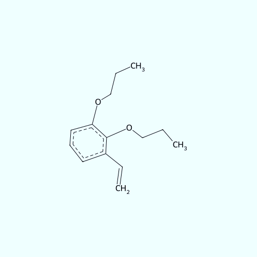 C=Cc1cccc(OCCC)c1OCCC